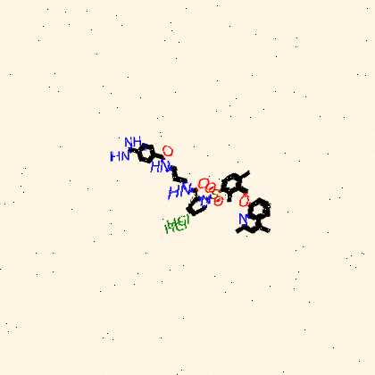 Cc1cc(C)c2cccc(OCc3c(C)ccc(S(=O)(=O)N4CCC[C@H]4C(=O)NCCCNC(=O)c4ccc(C(=N)N)cc4)c3C)c2n1.Cl.Cl